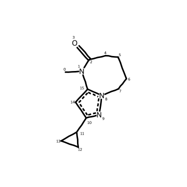 CN1C(=O)CCCCn2nc(C3CC3)cc21